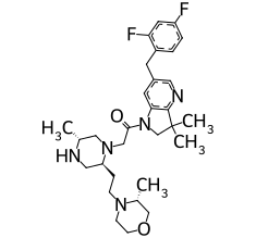 C[C@@H]1CN(CC(=O)N2CC(C)(C)c3ncc(Cc4ccc(F)cc4F)cc32)[C@@H](CCN2CCOC[C@H]2C)CN1